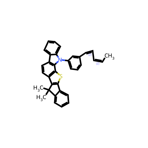 C/C=C\C=C/c1cccc(-n2c3ccccc3c3ccc4c5c(sc4c32)-c2ccccc2C5(C)C)c1